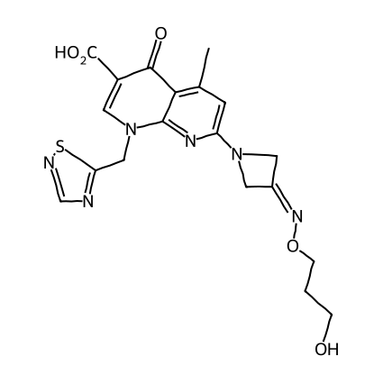 Cc1cc(N2CC(=NOCCCO)C2)nc2c1c(=O)c(C(=O)O)cn2Cc1ncns1